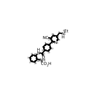 CCNCc1cnc(-c2ccc(C(=O)Nc3ccccc3NC(=O)O)cc2)c(C#N)c1